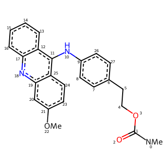 CNC(=O)OCCc1ccc(Nc2c3ccccc3nc3cc(OC)ccc23)cc1